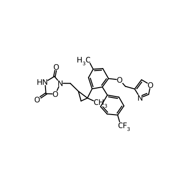 Cc1cc(OCc2cocn2)c(-c2ccc(C(F)(F)F)cc2)c(C2(C)CC2Cn2oc(=O)[nH]c2=O)c1